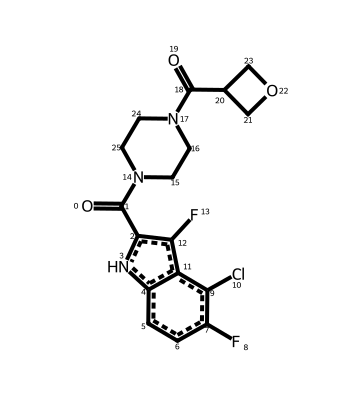 O=C(c1[nH]c2ccc(F)c(Cl)c2c1F)N1CCN(C(=O)C2COC2)CC1